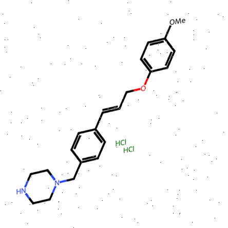 COc1ccc(OCC=Cc2ccc(CN3CCNCC3)cc2)cc1.Cl.Cl